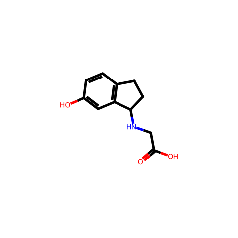 O=C(O)CNC1CCc2ccc(O)cc21